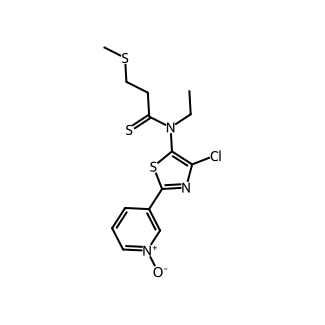 CCN(C(=S)CCSC)c1sc(-c2ccc[n+]([O-])c2)nc1Cl